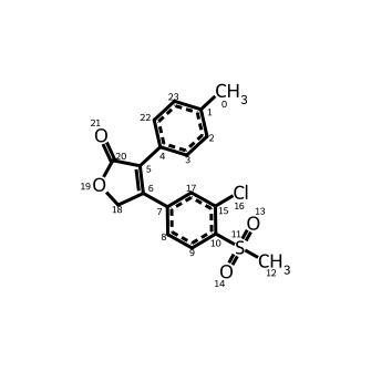 Cc1ccc(C2=C(c3ccc(S(C)(=O)=O)c(Cl)c3)COC2=O)cc1